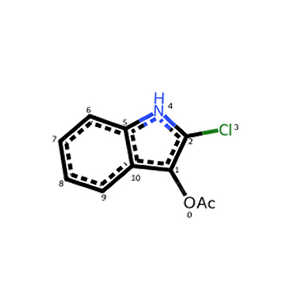 CC(=O)Oc1c(Cl)[nH]c2ccccc12